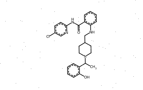 CC(c1ccccc1O)N1CCC(CNc2ccccc2C(=O)Nc2ccc(Cl)cn2)CC1